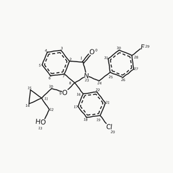 O=C1c2ccccc2C(OCC2(CO)CC2)(c2ccc(Cl)cc2)N1Cc1ccc(F)cc1